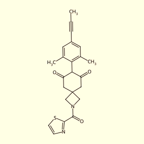 CC#Cc1cc(C)c(C2C(=O)CC3(CC2=O)CN(C(=O)c2nccs2)C3)c(C)c1